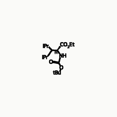 CCOC(=O)[C@@H](NC(=O)OC(C)(C)C)C(C(C)C)C(C)C